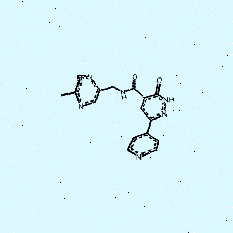 Cc1cnc(CNC(=O)c2cc(-c3ccncc3)n[nH]c2=O)cn1